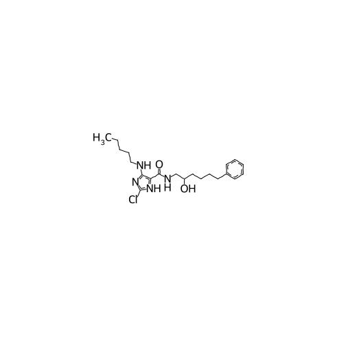 CCCCCNc1nc(Cl)[nH]c1C(=O)NCC(O)CCCCc1ccccc1